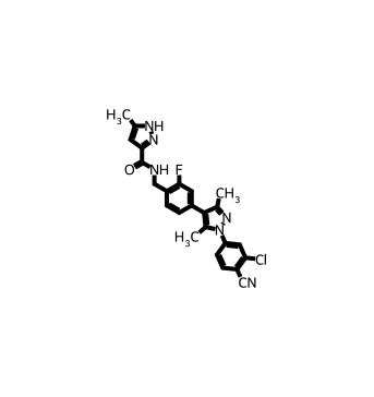 Cc1cc(C(=O)NCc2ccc(-c3c(C)nn(-c4ccc(C#N)c(Cl)c4)c3C)cc2F)n[nH]1